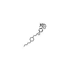 CCCCCC1CCC(CCCOc2ccc(C3(C(C)C)NCCO3)cc2)CC1